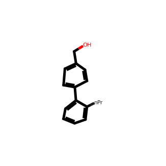 CCCc1ccccc1-c1ccc(CO)cc1